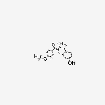 COc1ccc(C(=O)N2Cc3cc(O)ccc3CC2C)cn1